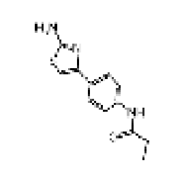 CCC(=O)Nc1ccc(-c2csc(N)n2)cc1